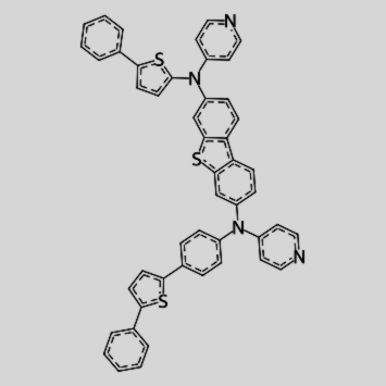 c1ccc(-c2ccc(-c3ccc(N(c4ccncc4)c4ccc5c(c4)sc4cc(N(c6ccncc6)c6ccc(-c7ccccc7)s6)ccc45)cc3)s2)cc1